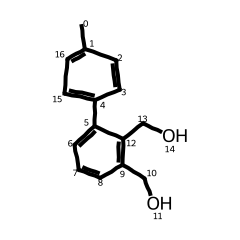 Cc1ccc(-c2cccc(CO)c2CO)cc1